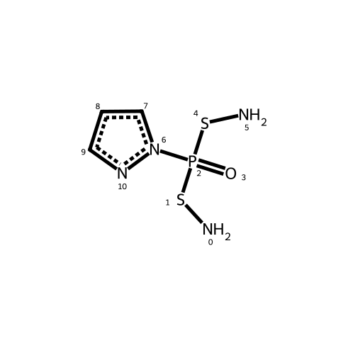 NSP(=O)(SN)n1cccn1